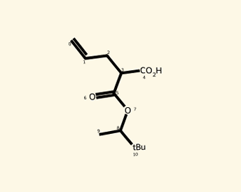 C=CCC(C(=O)O)C(=O)OC(C)C(C)(C)C